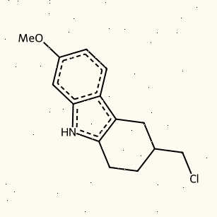 COc1ccc2c3c([nH]c2c1)CCC(CCl)C3